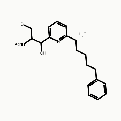 CC(=O)NC(CO)C(O)c1cccc(CCCCCc2ccccc2)n1.O